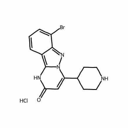 Cl.O=c1cc(C2CCNCC2)n2nc3c(Br)cccc3c2[nH]1